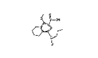 COc1c(C(=O)O)cc(Cl)c2c1CCCC2.[Li][CH2]CCC